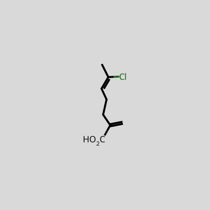 C=C(CCC=C(C)Cl)C(=O)O